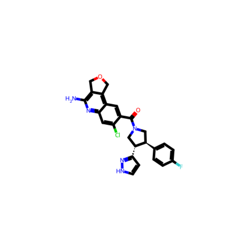 Nc1nc2cc(Cl)c(C(=O)N3C[C@@H](c4ccc(F)cc4)[C@H](c4cc[nH]n4)C3)cc2c2c1COC2